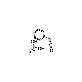 O=C=Nc1ccccc1.O[PH](O)=S